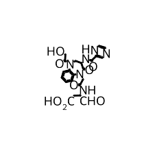 O=C[C@H](CC(=O)O)NC(=O)CN1C(=O)[C@@H](NC(=O)c2cnccn2)CN(C(=O)CO)c2ccccc21